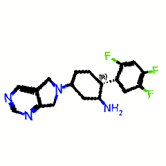 NC1CC(N2Cc3cncnc3C2)CC[C@@H]1C1CC(F)=C(F)C=C1F